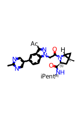 CCC[C@@H](C)NC(=O)[C@@H]1C[C@@]2(C)C[C@H]2N1C(=O)Cn1nc(C(C)=O)c2cc(-c3cnc(C)nc3)ccc21